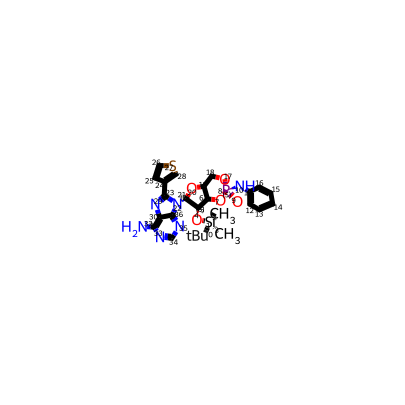 CC(C)(C)[Si](C)(C)O[C@H]1C2O[P@](=O)(Nc3ccccc3)OCC2O[C@H]1n1c(-c2ccsc2)nc2c(N)ncnc21